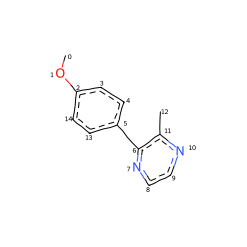 COc1ccc(-c2nccnc2C)cc1